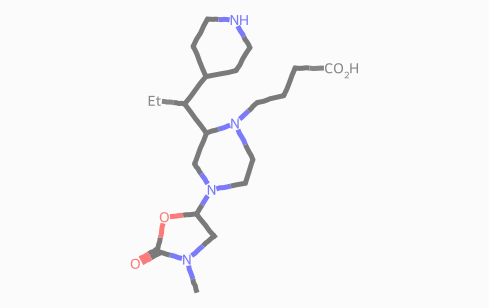 CCC(C1CCNCC1)C1CN(C2CN(C)C(=O)O2)CCN1CCCC(=O)O